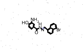 Nc1cc(C(=O)N/N=C/c2cccc3c(Br)cccc23)ccc1O